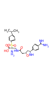 CC(C)c1ccc(S(=O)(=O)[C@@](N)(CNC(=O)C[C@H]2C[C@@H](c3ccc(C(=N)N)cc3)NO2)C(=O)O)cc1